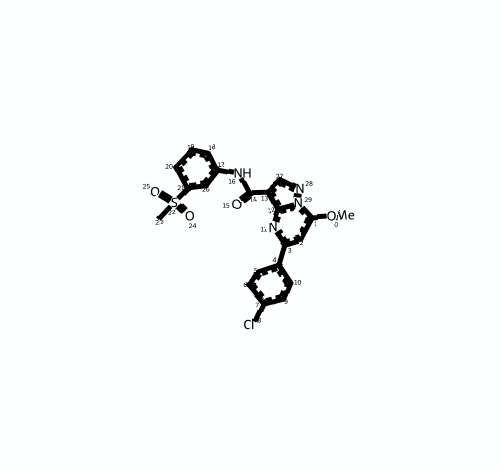 COc1cc(-c2ccc(Cl)cc2)nc2c(C(=O)Nc3cccc(S(C)(=O)=O)c3)cnn12